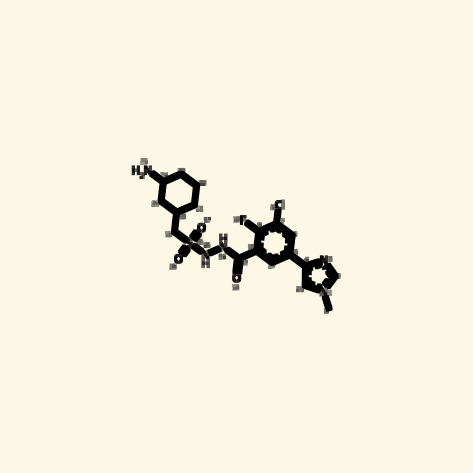 Cn1cnc(-c2cc(Cl)c(F)c(C(=O)NNS(=O)(=O)CC3CCCC(N)C3)c2)c1